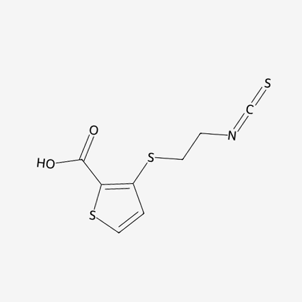 O=C(O)c1sccc1SCCN=C=S